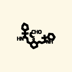 CC(C)(C(=N)CCC1CCCC(CCC2NC3CCCCC3C2(C)C)C1SCCC=O)C1CCCCC1